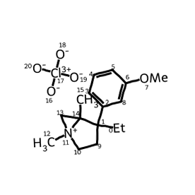 CCC1(c2cccc(OC)c2)CC[N+]2(C)CC12C.[O-][Cl+3]([O-])([O-])[O-]